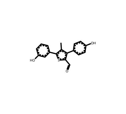 Cc1c(-c2cccc(O)c2)sc(C=O)c1-c1ccc(O)cc1